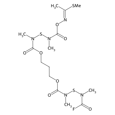 CSC(C)=NOC(=O)N(C)SN(C)C(=O)OCCCOC(=O)N(C)SN(C)C(=O)F